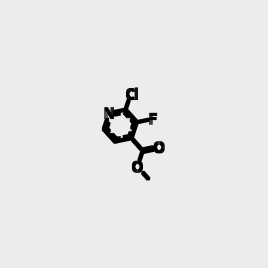 COC(=O)c1ccnc(Cl)c1F